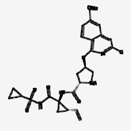 C=C[C@@H]1C[C@]1(NC(=O)[C@@H]1C[C@@H](Oc2nc(Cl)cc3cc(OC)ccc23)CN1)C(=O)NS(=O)(=O)C1CC1